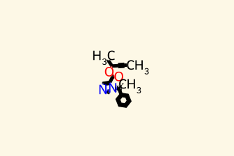 CC#CC(CC)OC(=O)c1cncn1[C@H](C)c1ccccc1